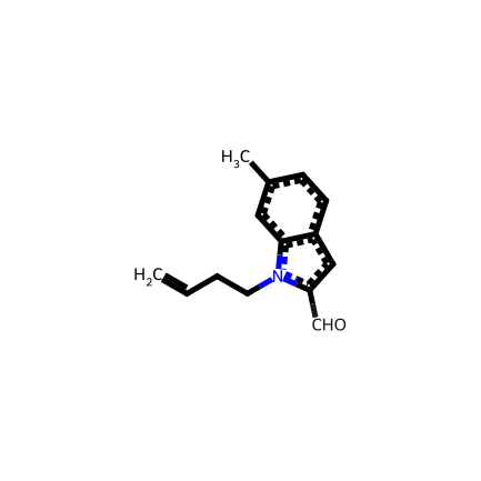 C=CCCn1c(C=O)cc2ccc(C)cc21